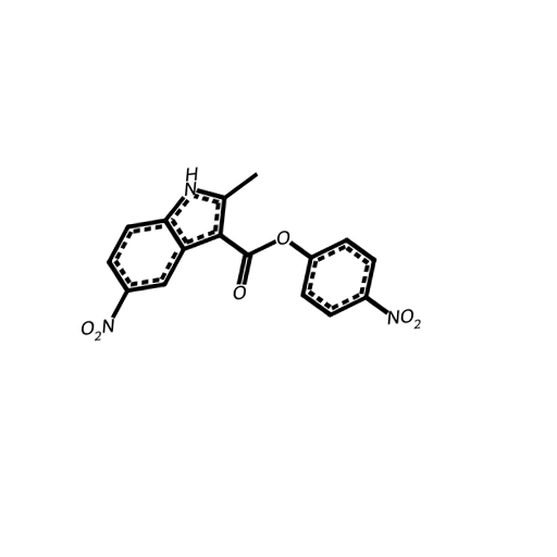 Cc1[nH]c2ccc([N+](=O)[O-])cc2c1C(=O)Oc1ccc([N+](=O)[O-])cc1